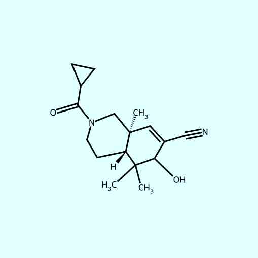 CC1(C)C(O)C(C#N)=C[C@]2(C)CN(C(=O)C3CC3)CC[C@@H]12